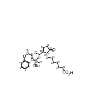 CC(Oc1ccccc1)[C@H](CCC1=CCC(=O)[C@@H]1CCCCCCC(=O)O)O[Si](C)(C)C(C)(C)C